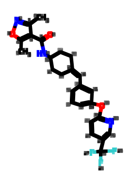 Cc1noc(C)c1C(=O)NC1CCC(=Cc2cccc(Oc3ccc(C(F)(F)F)cn3)c2)CC1